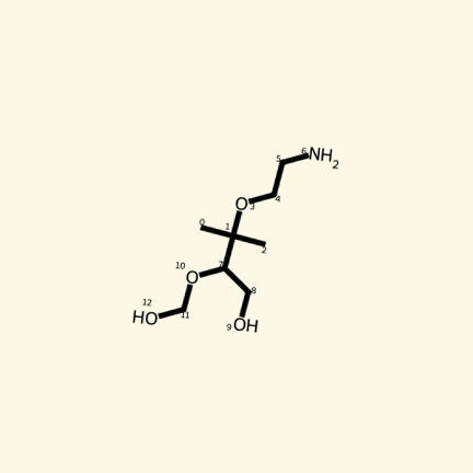 CC(C)(OCCN)C(CO)OCO